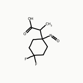 CC(C(=O)O)C1(N=O)CCC(F)(F)CC1